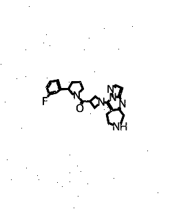 O=C(C1CN(c2c3c(nc4ccnn24)CCNCC3)C1)N1CCCC(c2cccc(F)c2)C1